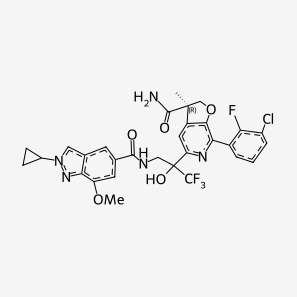 COc1cc(C(=O)NCC(O)(c2cc3c(c(-c4cccc(Cl)c4F)n2)OC[C@]3(C)C(N)=O)C(F)(F)F)cc2cn(C3CC3)nc12